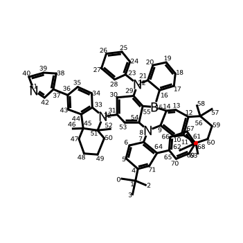 CC(C)(C)c1ccc(N2c3cc4c(cc3B3c5ccccc5N(c5ccccc5)c5cc(N6c7ccc(-c8cccnc8)cc7C7(C)CCCCC67C)cc2c53)C(C)(C)CCC4(C)C)c(-c2ccccc2)c1